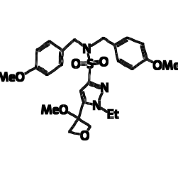 CCn1nc(S(=O)(=O)N(Cc2ccc(OC)cc2)Cc2ccc(OC)cc2)cc1C1(OC)COC1